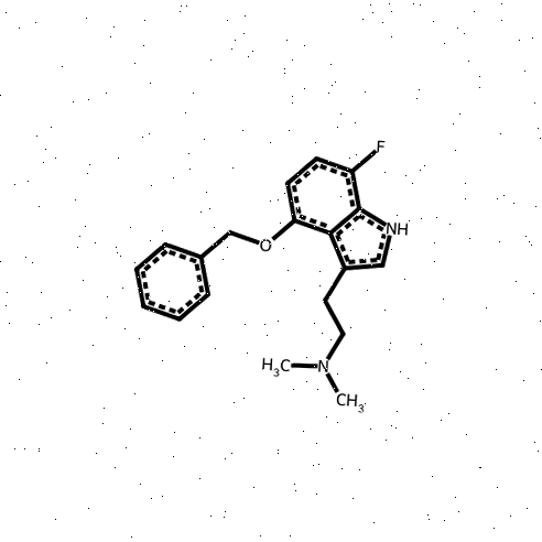 CN(C)CCc1c[nH]c2c(F)ccc(OCc3ccccc3)c12